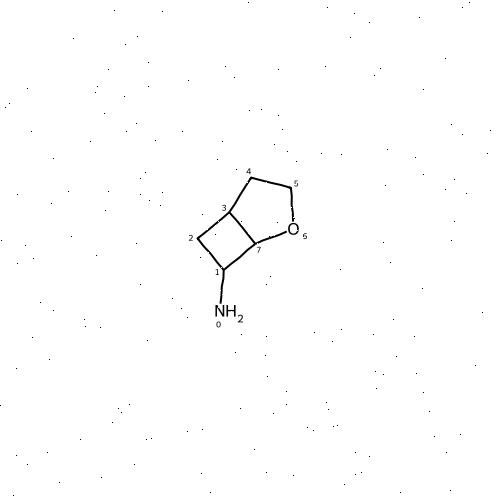 NC1CC2CCOC12